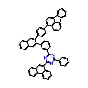 c1ccc(-c2nc(-c3cccc(-c4cc5ccccc5cc4-c4ccc(-c5ccc6c7c(cccc57)-c5ccccc5-6)cc4)c3)nc(-c3cc4ccccc4c4ccccc34)n2)cc1